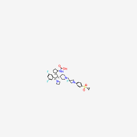 O=C(O)N[C@H]1CCC[C@@H]1[C@H](C1CCN(CC2(F)CN(c3ccc(S(=O)(=O)C4CC4)cc3)C2)CC1)[C@@H](c1cc(F)cc(F)c1)N1CCC1